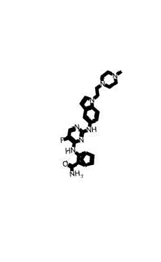 CN1CCN(CCn2ccc3cc(Nc4ncc(F)c(NC5C6C=CC(C6)C5C(N)=O)n4)ccc32)CC1